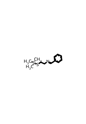 C[Si](C)(C)SCCN=Cc1ccccc1